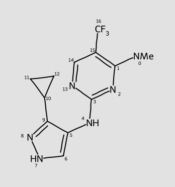 CNc1nc(Nc2c[nH]nc2C2CC2)ncc1C(F)(F)F